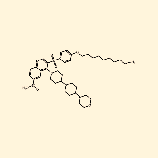 CCCCCCCCCCOc1ccc(S(=O)(=O)c2cnc3ccc([S+](C)[O-])cc3c2N2CCC(N3CCC(N4CCOCC4)CC3)CC2)cc1